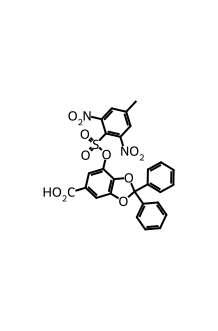 Cc1cc([N+](=O)[O-])c(S(=O)(=O)Oc2cc(C(=O)O)cc3c2OC(c2ccccc2)(c2ccccc2)O3)c([N+](=O)[O-])c1